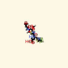 CC(=O)OC(CC(C(C)C)N(C)C(=O)CC1COC1)c1nc(C(=O)N[C@@H](Cc2nc(C(F)(F)F)cs2)CC(C)C(=O)O)cs1